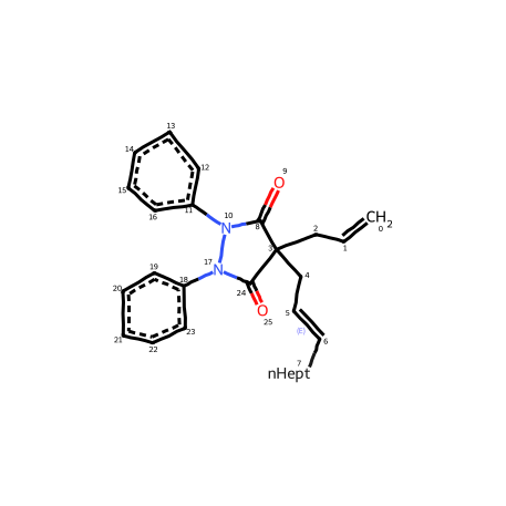 C=CCC1(C/C=C/CCCCCCC)C(=O)N(c2ccccc2)N(c2ccccc2)C1=O